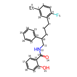 CCc1ccc(F)c(CCCC(CNC(=O)c2ccccc2O)c2ccccc2)c1